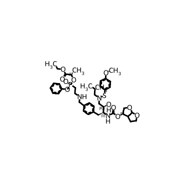 CCOC(=O)[C@H](C)OP(=O)(CCNCc1ccc(C[C@H](NC(=O)O[C@H]2COC3OCCC32)[C@H](O)CN(CC(C)C)Sc2ccc(OC)cc2)cc1)Oc1ccccc1